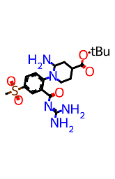 CC(C)(C)OC(=O)C1CCN(c2ccc(S(C)(=O)=O)cc2C(=O)N=C(N)N)C(N)C1